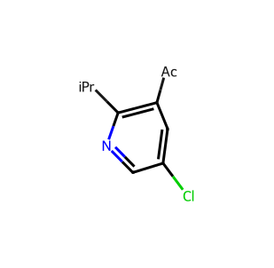 CC(=O)c1cc(Cl)cnc1C(C)C